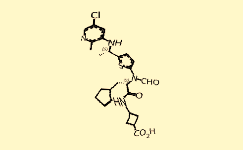 Cc1ncc(Cl)cc1N[C@@H](C)c1ccc(N(C=O)[C@@H](CC2CCCC2)C(=O)NC2CC(C(=O)O)C2)s1